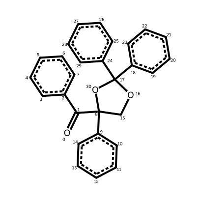 O=C(c1ccccc1)C1(c2ccccc2)COC(c2ccccc2)(c2ccccc2)O1